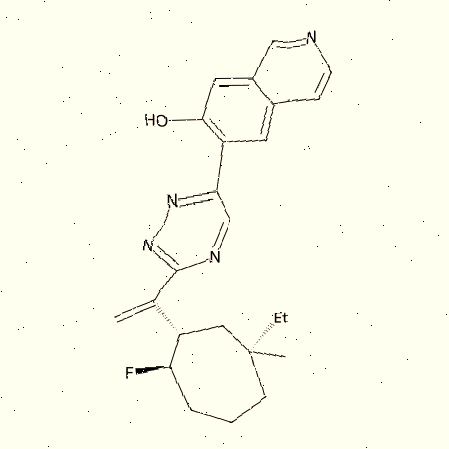 C=C(c1ncc(-c2cc3ccncc3cc2O)nn1)[C@@H]1C[C@](C)(CC)CCC[C@H]1F